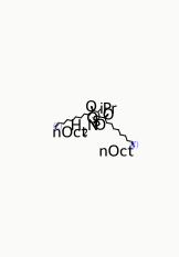 CCCCCCCC/C=C\CCCCCCCC(=O)C(C(C)C)C(C(=O)CCCCCCC/C=C\CCCCCCCC)S(N)(=O)=O